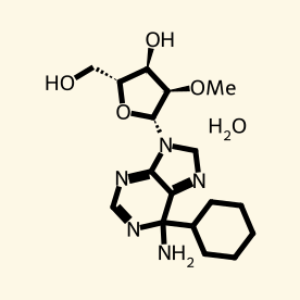 CO[C@@H]1[C@H](O)[C@@H](CO)O[C@H]1N1CN=C2C1=NC=NC2(N)C1CCCCC1.O